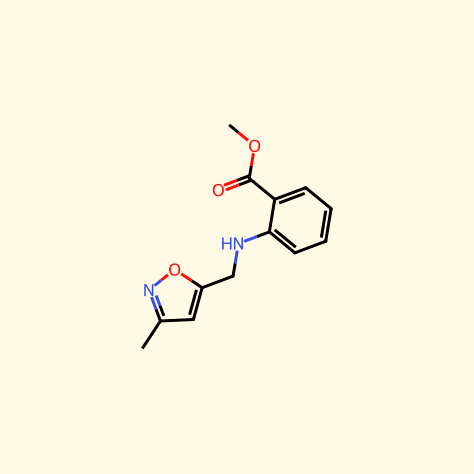 COC(=O)c1ccccc1NCc1cc(C)no1